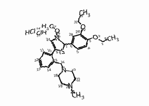 CCOc1ccc(C2SC(c3ccccc3CN3CCN(C)CC3)=CN2OC)cc1OCC.Cl.Cl